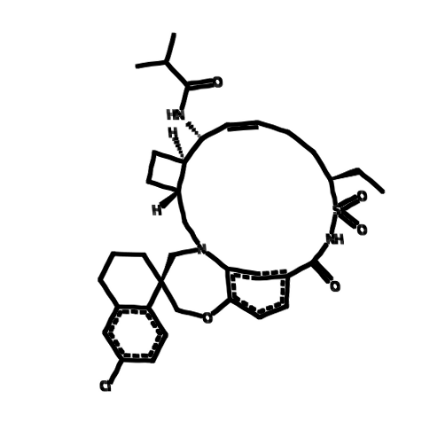 CC[C@@H]1CC/C=C\[C@@H](NC(=O)C(C)C)[C@@H]2CC[C@H]2CN2C[C@@]3(CCCc4cc(Cl)ccc43)COc3ccc(cc32)C(=O)NS1(=O)=O